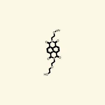 CCCOCCN1C(=O)c2ccc3c4c(ccc(c24)C1=O)C(=O)N(CCOCCO)C3=O